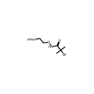 CCCCCCCCONC(=O)C(C)(C)Br